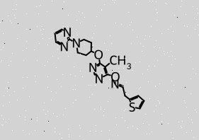 Cc1c(ON=CCc2cccs2)ncnc1OC1CCN(c2ncccn2)CC1